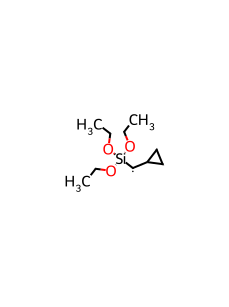 CCO[Si]([CH]C1CC1)(OCC)OCC